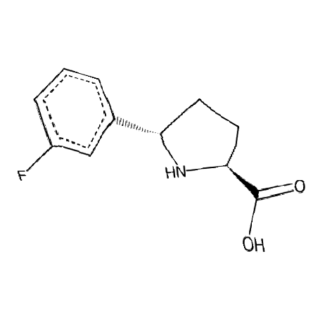 O=C(O)[C@@H]1CC[C@@H](c2cccc(F)c2)N1